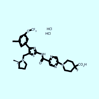 Cc1cc(OC(F)(F)F)cc(-c2nc(NC(=O)c3cnc(N4CCC(F)(C(=O)O)CC4)cn3)sc2CN2CCC[C@H]2C)c1.Cl.Cl